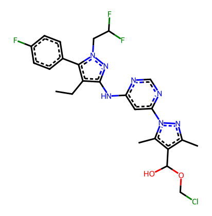 CCc1c(Nc2cc(-n3nc(C)c(C(O)OCCl)c3C)ncn2)nn(CC(F)F)c1-c1ccc(F)cc1